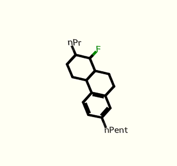 CCCCCc1ccc2c(c1)CCC1C2CCC(CCC)C1F